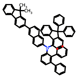 CC1(C)c2ccccc2-c2ccc(-c3ccc4cc(N(c5cccc(-c6ccccc6)c5-c5ccccc5)c5cccc6c5-c5ccccc5C6(c5ccccc5)c5ccccc5)ccc4c3)cc21